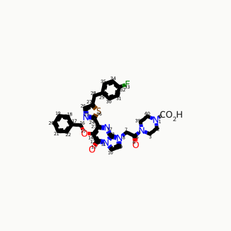 O=C(O)N1CCN(C(=O)Cn2ccn3c(=O)c(OCc4ccccc4)c(-c4ncc(Cc5ccc(F)cc5)s4)nc23)CC1